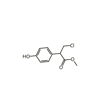 COC(=O)C(CCl)c1ccc(O)cc1